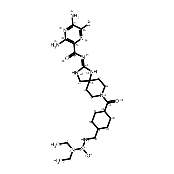 CCN(CC)[S+]([O-])NCC1CCC(C(=O)N2CCC3(CC2)CN/C(=N\C(=O)c2nc(Cl)c(N)nc2N)N3)CC1